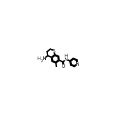 Cc1cc2c(cc1C(=O)Nc1ccncc1)SCCC2N